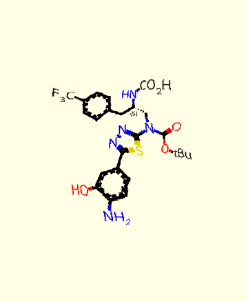 CC(C)(C)OC(=O)N(C[C@H](Cc1ccc(C(F)(F)F)cc1)NC(=O)O)c1nnc(-c2ccc(N)c(O)c2)s1